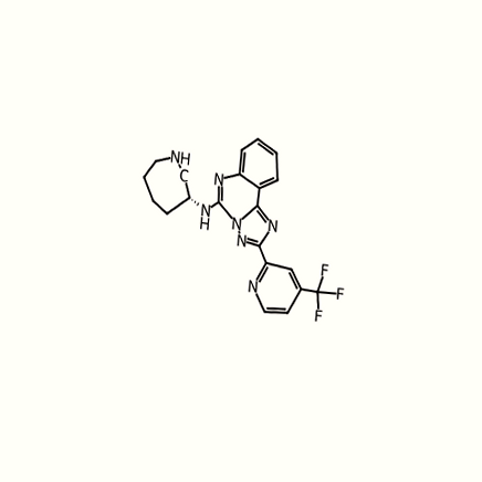 FC(F)(F)c1ccnc(-c2nc3c4ccccc4nc(N[C@@H]4CCCCNC4)n3n2)c1